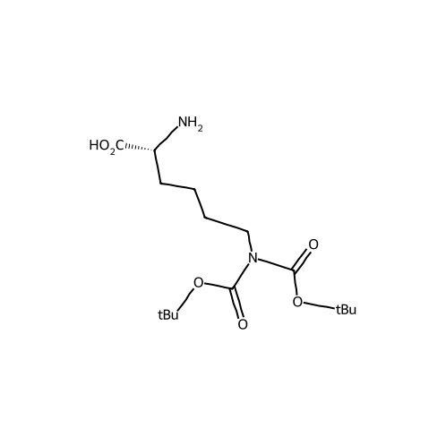 CC(C)(C)OC(=O)N(CCCC[C@@H](N)C(=O)O)C(=O)OC(C)(C)C